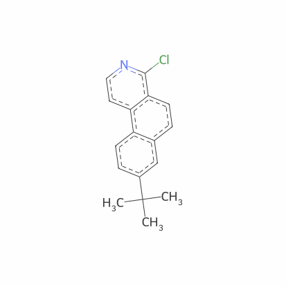 CC(C)(C)c1ccc2c(ccc3c(Cl)nccc32)c1